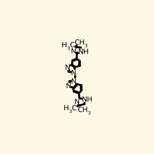 CC1(C)CNC(c2ccc3c(c2)ncn3Cn2cnc3cc(C4=NC(C)(C)CN4)ccc32)=N1